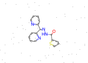 O=C(NN=C(c1ccccn1)c1ccccn1)c1cccs1